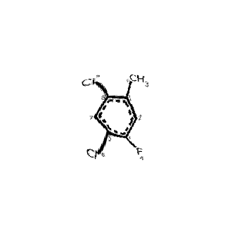 Cc1cc(F)c(Cl)cc1Cl